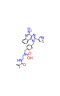 C=C(C)C(=O)NCCN(Cc1ccc(Cn2c(-c3cnsc3)nc3c(N)nc4ccccc4c32)cc1)C(=O)O